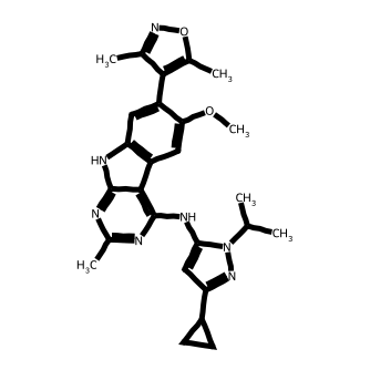 COc1cc2c(cc1-c1c(C)noc1C)[nH]c1nc(C)nc(Nc3cc(C4CC4)nn3C(C)C)c12